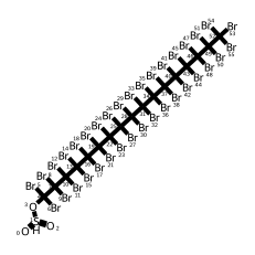 O=[SH](=O)OC(Br)(Br)C(Br)(Br)C(Br)(Br)C(Br)(Br)C(Br)(Br)C(Br)(Br)C(Br)(Br)C(Br)(Br)C(Br)(Br)C(Br)(Br)C(Br)(Br)C(Br)(Br)C(Br)(Br)C(Br)(Br)C(Br)(Br)C(Br)(Br)C(Br)(Br)Br